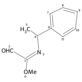 COC(C=O)=NC(C)c1ccccc1